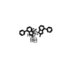 CC1=Cc2c(-c3ccccc3)cccc2[CH]1[Zr]([CH3])(=[SiH2])([CH]1C(C)=Cc2c(-c3ccccc3)cccc21)[Si](C)(C)C.Cl.Cl